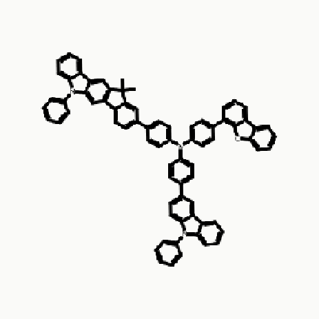 CC1(C)c2cc(-c3ccc(N(c4ccc(-c5ccc6c(c5)c5ccccc5n6-c5ccccc5)cc4)c4ccc(-c5cccc6c5oc5ccccc56)cc4)cc3)ccc2-c2cc3c(cc21)c1ccccc1n3-c1ccccc1